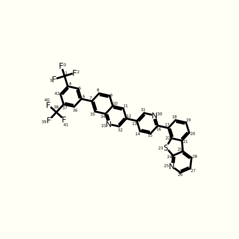 FC(F)(F)c1cc(-c2ccc3cc(-c4ccc(-c5cccc6c5sc5ncccc56)nc4)cnc3c2)cc(C(F)(F)F)c1